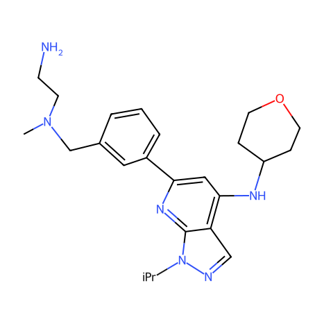 CC(C)n1ncc2c(NC3CCOCC3)cc(-c3cccc(CN(C)CCN)c3)nc21